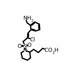 NCc1ccccc1C=C(Cl)CS(=O)(=O)N1CCCCC1CCCC(=O)O